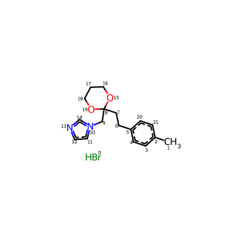 Br.Cc1ccc(CCC2(Cn3ccnc3)OCCCO2)cc1